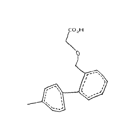 Cc1ccc(-c2ccccc2COCC(=O)O)cc1